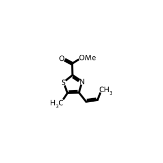 C/C=C\c1nc(C(=O)OC)sc1C